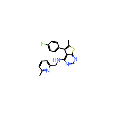 Cc1cccc(CNc2n[c]nc3sc(C)c(-c4ccc(F)cc4)c23)n1